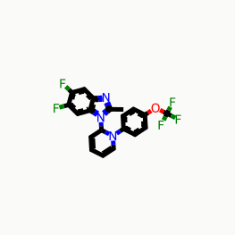 Cc1nc2cc(F)c(F)cc2n1C1C=CC=CN1c1ccc(OC(F)(F)F)cc1